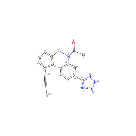 CCC(=O)N(Cc1cccc(C#CC(C)(C)C)c1)c1cccc(-c2nnn[nH]2)c1